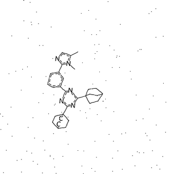 Cc1cnc(-c2cccc(-c3nc(C45CCC(CC4)CC5)nc(C45CCC(CC4)CC5)n3)c2)n1C